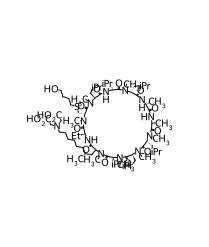 CC[C@@H]1NC(=O)C(C[C@H](C)CCCCCCN(CC(=O)O)CC(=O)O)N(C)C(=O)[C@H](C(C)C)N(C)C(=O)[C@H](CC(C)C)N(C)C(=O)[C@@H](CC(C)C)N(C)C(=O)[C@H](C)NC(=O)[C@@H](C)NC(=O)[C@@H](CC(C)C)N(C)C(=O)[C@@H](C(C)C)NC(=O)[C@H](CC(C)C)N(C)C(=O)[C@@H](CSCCCCO)N(C)C1=O